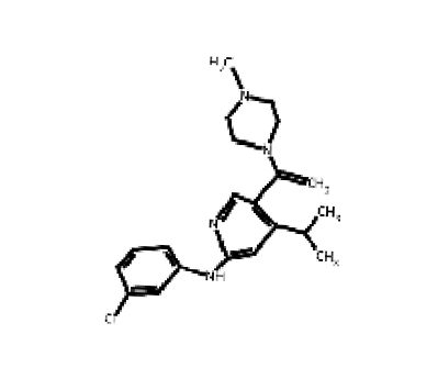 C=C(c1cnc(Nc2cccc(Cl)c2)cc1C(C)C)N1CCN(C)CC1